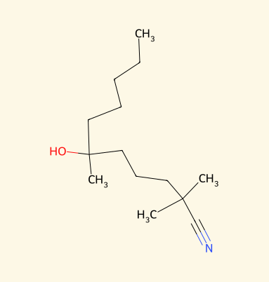 CCCCCC(C)(O)CCCC(C)(C)C#N